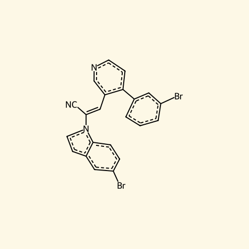 N#CC(=Cc1cnccc1-c1cccc(Br)c1)n1ccc2cc(Br)ccc21